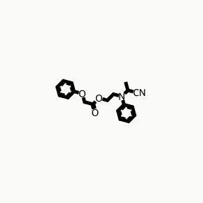 CC(C#N)N(CCOC(=O)COc1ccccc1)c1ccccc1